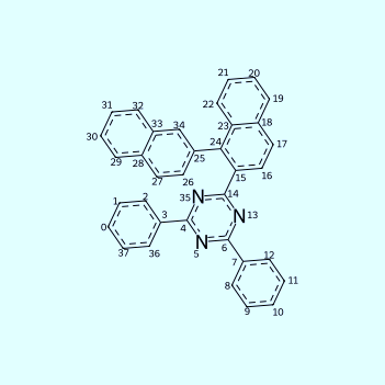 c1ccc(-c2nc(-c3ccccc3)nc(-c3ccc4ccccc4c3-c3ccc4ccccc4c3)n2)cc1